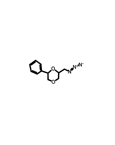 [N-]=[N+]=NCC1COCC(c2ccccc2)O1